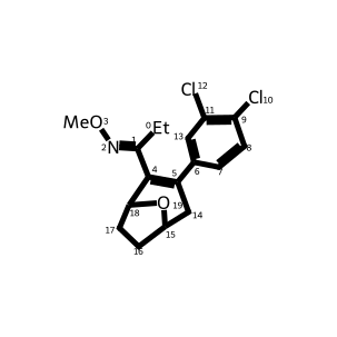 CCC(=NOC)C1=C(c2ccc(Cl)c(Cl)c2)CC2CCC1O2